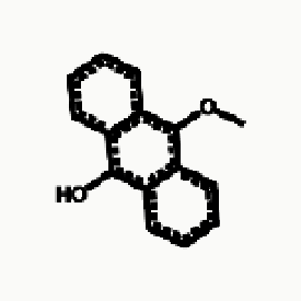 COc1c2ccccc2c(O)c2ccccc12